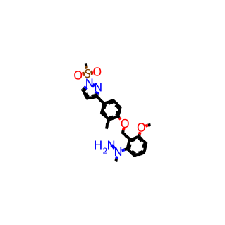 COc1cccc(N(C)N)c1COc1ccc(-c2ccn(S(C)(=O)=O)n2)cc1C